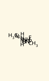 Cc1ccc(F)c2c1NC(C(=O)NC1NCC(C3CCN(C)CC3)N1)C2